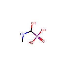 CNC(O)P(=O)(O)O